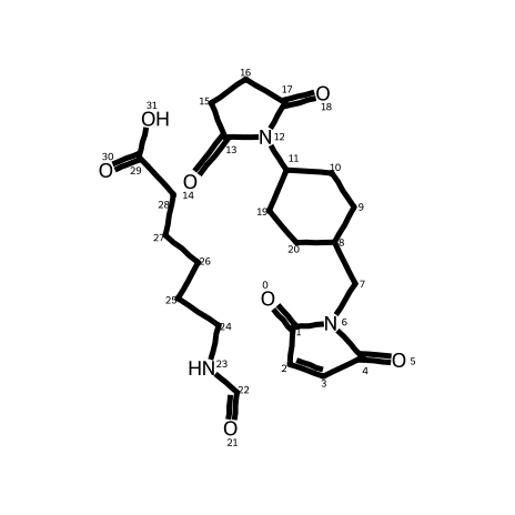 O=C1C=CC(=O)N1CC1CCC(N2C(=O)CCC2=O)CC1.O=CNCCCCCC(=O)O